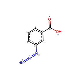 N=[N+]=Nc1cccc(C(=O)O)c1